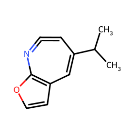 CC(C)C1=Cc2ccoc2N=C=C1